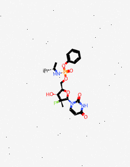 CC(C)[C@H](C)N[P@](=O)(OC[C@H]1O[C@@H](n2ccc(=O)[nH]c2=O)[C@](C)(F)[C@@H]1O)Oc1ccccc1